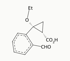 CCO[C@]1(c2ccccc2C=O)C[C@@H]1C(=O)O